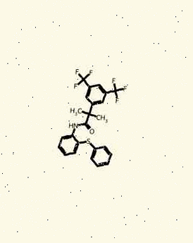 CC(C)(C(=O)Nc1ccccc1Sc1ccccc1)c1cc(C(F)(F)F)cc(C(F)(F)F)c1